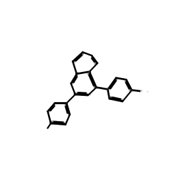 Oc1ccc(-c2[c]c(-c3ccc(O)cc3)c3ccccc3c2)cc1